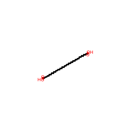 O=C(O)CCCCCCCCCCCCCCCCCCCCCCCCCCCCCCCCCCCCCCCCC(=O)O